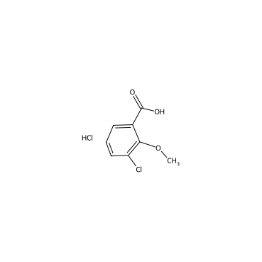 COc1c(Cl)cccc1C(=O)O.Cl